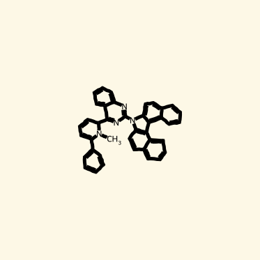 CN1C(c2ccccc2)=CC=CC1c1nc(-n2c3ccc4ccccc4c3c3c4ccccc4ccc32)nc2ccccc12